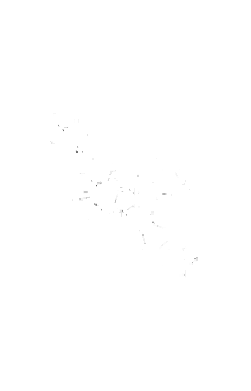 CC1C=C(Cl)C=CC1Cn1c(Oc2cccc(OC(F)(F)F)c2)nc2c1c(=O)n(CCN1CCN(C)CC1)c(=O)n2C